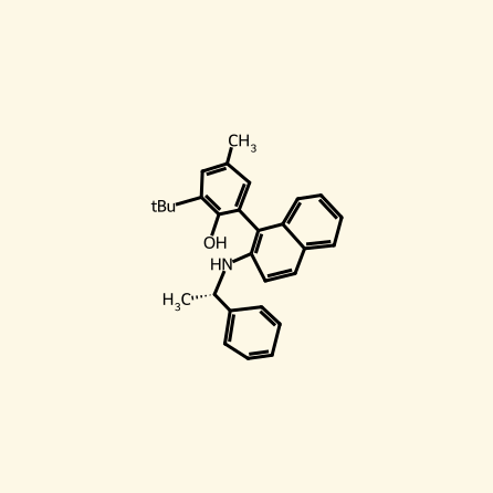 Cc1cc(-c2c(N[C@@H](C)c3ccccc3)ccc3ccccc23)c(O)c(C(C)(C)C)c1